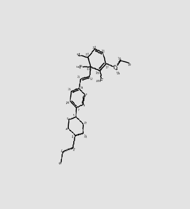 CCCC1CCC(c2ccc(/C=C/C3(F)C(F)=C(OCC)C=CC3C)cc2)CC1